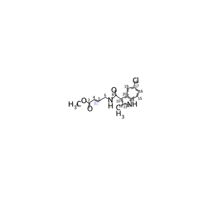 COC(=O)/C=C/CNC(=O)c1c(C)[nH]c2ccc(Cl)cc12